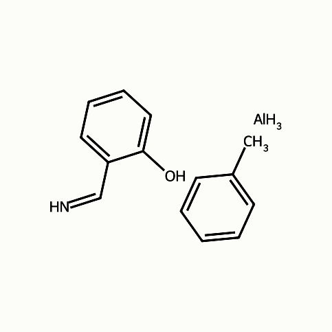 Cc1ccccc1.N=Cc1ccccc1O.[AlH3]